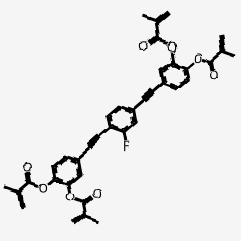 C=C(C)C(=O)Oc1ccc(C#Cc2ccc(C#Cc3ccc(OC(=O)C(=C)C)c(OC(=O)C(=C)C)c3)c(F)c2)cc1OC(=O)C(=C)C